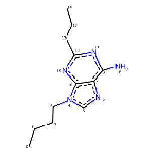 [CH2]CCCn1cnc2c(N)nc(CCC)nc21